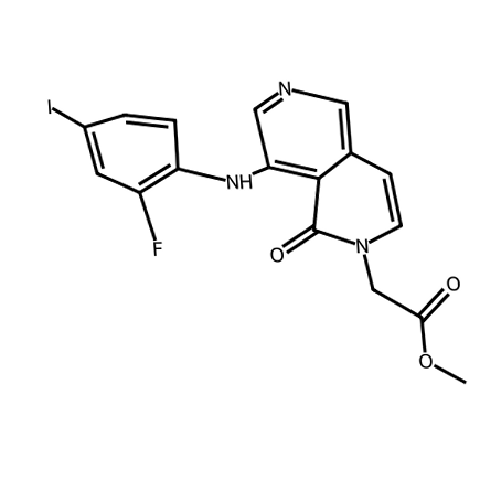 COC(=O)Cn1ccc2cncc(Nc3ccc(I)cc3F)c2c1=O